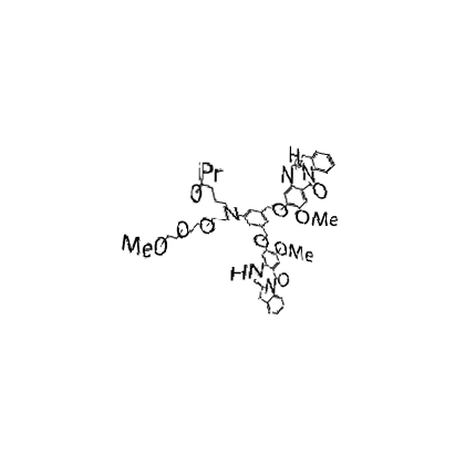 COCCOCCOCCN(CCCC(=O)C(C)C)c1cc(COc2cc3c(cc2OC)C(=O)N2c4ccccc4C[C@H]2C=N3)cc(COc2cc3c(cc2OC)C(=O)N2c4ccccc4CC2CN3)c1